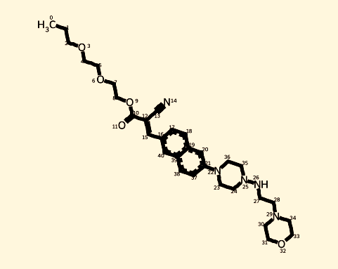 CCCOCCOCCOC(=O)/C(C#N)=C/c1ccc2cc(N3CCN(NCCN4CCOCC4)CC3)ccc2c1